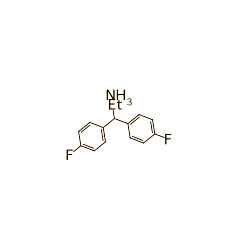 CCC(c1ccc(F)cc1)c1ccc(F)cc1.N